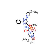 CCCCOP(=O)(O)C(NC(=O)c1cc(N2CC[C@H](OC)C2)nc(-c2ccccc2)n1)C(=O)N1CCN(OC(=O)O)CC1